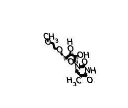 COCCOC[C@H]1O[C@@H](n2cc(C)c(=O)[nH]c2=O)[C@H](O)[C@@H]1O